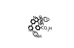 O=C(O)c1ccccc1Nc1c(S(=O)(=O)N2CCOCC2)cnc2ccc(-c3ccnc(N4CCNCC4)c3)cc12